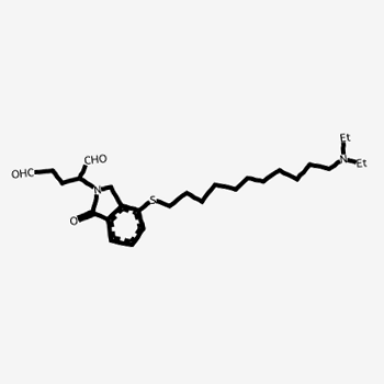 CCN(CC)CCCCCCCCCCCSc1cccc2c1CN(C(C=O)CCC=O)C2=O